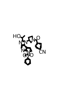 CC(O)c1nc2cnc3c(ccn3S(=O)(=O)c3ccccc3)c2n1C1CCN(C(=O)c2ccc(C#N)cc2)C1